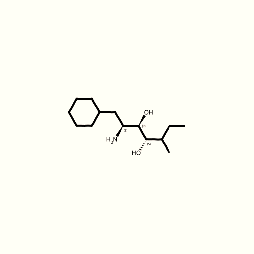 CCC(C)[C@H](O)[C@H](O)[C@@H](N)CC1CCCCC1